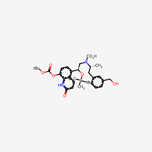 C[C@H](Cc1cccc(CO)c1)N(C[C@@H](O[Si](C)(C)C(C)(C)C)c1ccc(OC(=O)OC(C)(C)C)c2[nH]c(=O)ccc12)C(=O)O